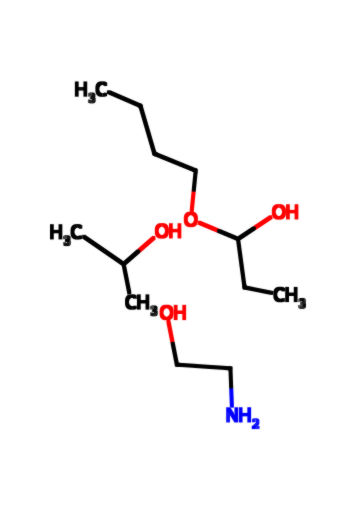 CC(C)O.CCCCOC(O)CC.NCCO